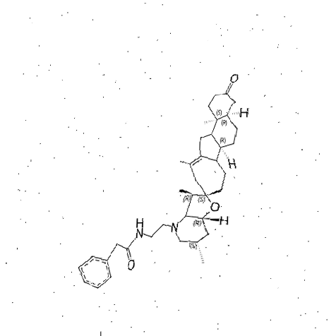 CC1=C2CC3[C@@H](CC[C@@H]4CC(=O)CC[C@]34C)C2CC[C@@]2(C1)O[C@@H]1C[C@H](C)CN(CCNC(=O)Cc3ccccc3)C1[C@H]2C